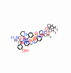 COc1ccc(CN(Cc2ccc(OC)cc2)S(=O)(=O)c2c(S(=O)(=O)N[C@@H]3CCN(C(=O)OC(C)(C)C)C3)ccc(N3CCC[C@@H](ON)C3=O)c2-c2nnn(Cc3cccc(O)c3)n2)cc1